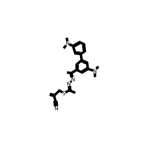 C=C(C#N)CS/C(C)=N/N=C(\C)c1cc(-c2cccc(N(C)C)c2)cc(N(C)C)c1